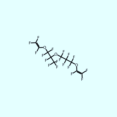 FC(F)=C(F)OC(F)(F)C(F)(F)C(F)(F)OC(F)(C(F)(F)F)C(F)(F)OC(F)=C(F)F